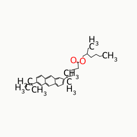 CCCCC(CC)COC(=O)CCCC(C)(C)c1ccc2cc3cc(C(C)(C)C)ccc3cc2c1